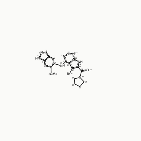 COc1cc2[nH]ncc2cc1Nc1ncnc2[nH]c(C(=O)N3CCCC3)c(Br)c12